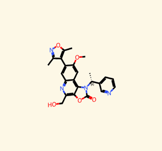 COc1cc2c(cc1-c1c(C)noc1C)nc(CO)c1oc(=O)n([C@H](C)c3cccnc3)c12